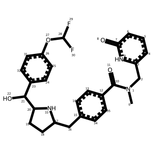 CN(Cc1cccc(=O)[nH]1)C(=O)c1ccc(CC2CCC(C(O)c3ccc(OC(F)F)cc3)N2)cc1